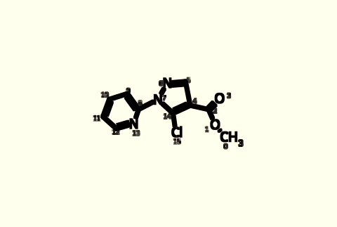 COC(=O)c1cnn(-c2ccccn2)c1Cl